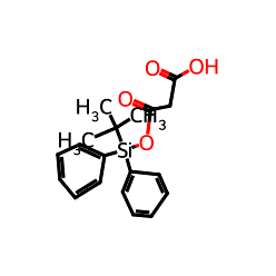 CC(C)(C)[Si](OC(=O)CC(=O)O)(c1ccccc1)c1ccccc1